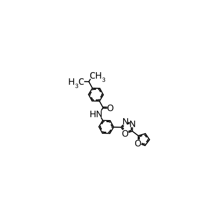 CC(C)c1ccc(C(=O)Nc2cccc(-c3nnc(-c4ccco4)o3)c2)cc1